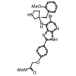 CNC(=O)COc1ccc(-c2nc3c(N[C@@]4(Cc5ccccc5OC)CCNC4)c(Br)cnc3[nH]2)cc1